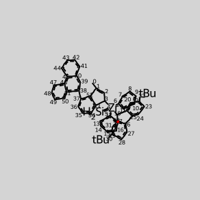 CC1=C[CH]([Zr](=[SiH2])([c]2ccccc2)([c]2ccccc2)[CH]2c3cc(C(C)(C)C)ccc3-c3ccc(C(C)(C)C)cc32)c2cccc(-c3cc4ccccc4c4ccccc34)c21